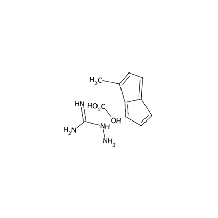 CC1=CC=C2C=CC=C12.N=C(N)NN.O=C(O)O